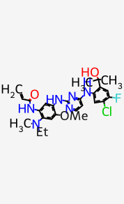 C=CC(=O)Nc1cc(Nc2nccc(Nc3cc(Cl)c(F)cc3C(C)(C)O)n2)c(OC)cc1N(C)CC